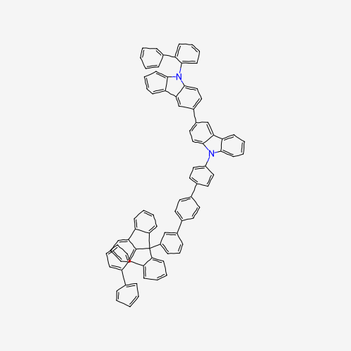 c1ccc(-c2ccccc2-c2ccccc2C2(c3cccc(-c4ccc(-c5ccc(-n6c7ccccc7c7cc(-c8ccc9c(c8)c8ccccc8n9-c8ccccc8-c8ccccc8)ccc76)cc5)cc4)c3)c3ccccc3-c3ccccc32)cc1